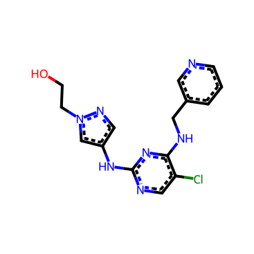 OCCn1cc(Nc2ncc(Cl)c(NCc3cccnc3)n2)cn1